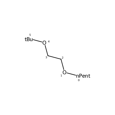 CCCCCOCCOC(C)(C)C